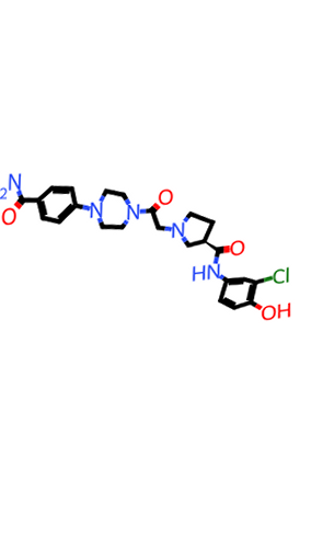 NC(=O)c1ccc(N2CCN(C(=O)CN3CC[C@@H](C(=O)Nc4ccc(O)c(Cl)c4)C3)CC2)cc1